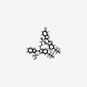 CCS(=O)(=O)c1c(-c2nc3cc(C(F)(F)C(F)(F)F)cnc3n2CCCS(=O)(=O)c2c(-c3nc4cc(C(F)(F)C(F)(F)F)ncc4n3C)sc3cc(Cl)ccc23)sc2ncccc12